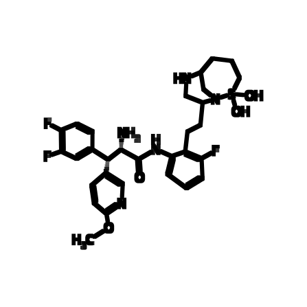 COc1ccc([C@H](c2ccc(F)c(F)c2)[C@H](N)C(=O)Nc2cccc(F)c2CCC2CNC3CCCS(O)(O)N2C3)cn1